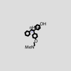 CCCCCC/C(=C(\c1ccc(O)cc1)c1ccc(OCCNC)cc1)c1ccccc1